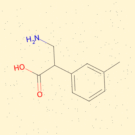 Cc1cccc(C(CN)C(=O)O)c1